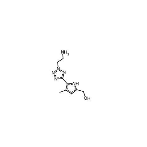 Cc1[c]c(CO)[nH]c1-c1nnn(CCN)n1